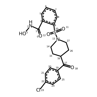 O=C(NO)c1ccccc1S(=O)(=O)N1CCC(C(=O)c2ccc(Cl)cc2)CC1